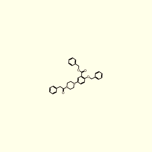 O=C(OCc1ccccc1)c1cc(N2CCN(C(=O)Cc3ccccc3)CC2)ccc1OCc1ccccc1